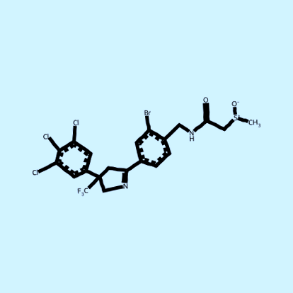 C[S+]([O-])CC(=O)NCc1ccc(C2=NCC(c3cc(Cl)c(Cl)c(Cl)c3)(C(F)(F)F)C2)cc1Br